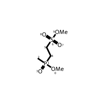 COP(C)(=O)CCS(=O)(=O)OC